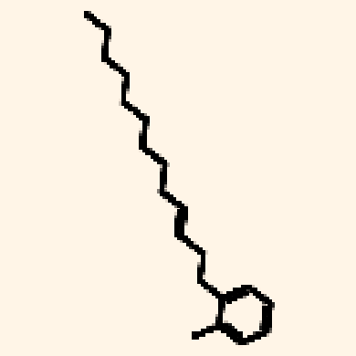 CCCCCCCCCC=CCCc1ccccc1C